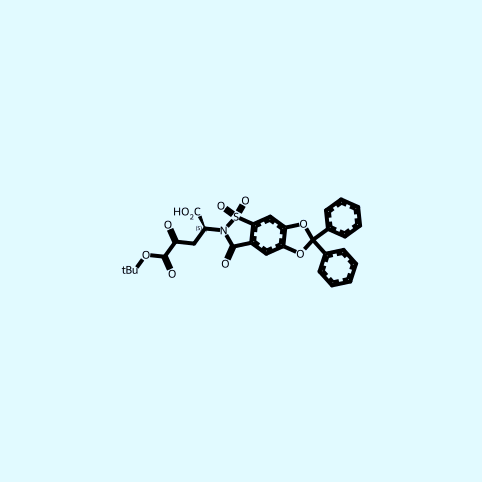 CC(C)(C)OC(=O)C(=O)C[C@@H](C(=O)O)N1C(=O)c2cc3c(cc2S1(=O)=O)OC(c1ccccc1)(c1ccccc1)O3